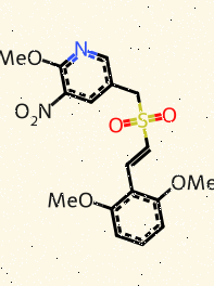 COc1cccc(OC)c1C=CS(=O)(=O)Cc1cnc(OC)c([N+](=O)[O-])c1